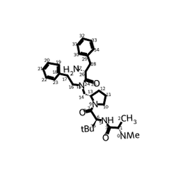 CN[C@@H](C)C(=O)N[C@H](C(=O)N1CCC[C@H]1CN(CCc1ccccc1)C(=O)[C@H](N)Cc1ccccc1)C(C)(C)C